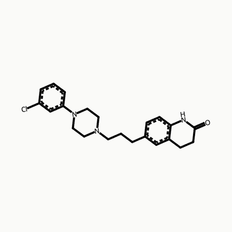 O=C1CCc2cc(CCCN3CCN(c4cccc(Cl)c4)CC3)ccc2N1